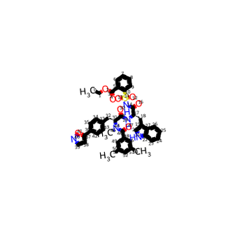 CCOC(=O)c1ccccc1S(=O)(=O)NC(=O)[C@H](Cc1c[nH]c2ccccc12)NC(=O)[C@@H](Cc1ccc(-c2ccno2)cc1)N(C)C(=O)c1cc(C)cc(C)c1